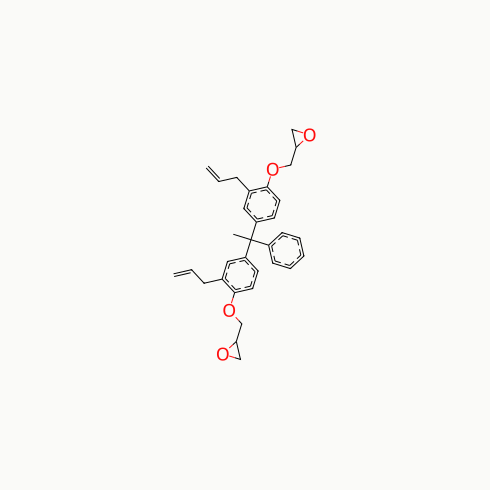 C=CCc1cc(C(C)(c2ccccc2)c2ccc(OCC3CO3)c(CC=C)c2)ccc1OCC1CO1